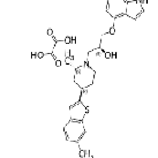 Cc1ccc2cc([C@@H]3CCN(C[C@H](O)COc4cccc5[nH]ccc45)[C@@H](C)C3)sc2c1.O=C(O)C(=O)O